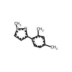 Cc1ccc(-c2ccn(C)n2)c(C)c1